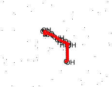 O=C(O)CCCCCCCCCCCCCCCCC(=O)N[C@@H](CCC(=O)NCCOCCOCC(=O)NCCOCCOCC(=O)NCC(=O)C[C@H]1CSSC[C@@H](C(=O)O)CC1=O)C(=O)O